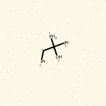 CC(C)CC(O)(P)C(C)C